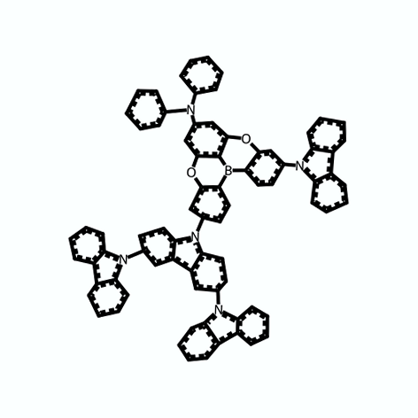 c1ccc(N(c2ccccc2)c2cc3c4c(c2)Oc2cc(-n5c6ccc(-n7c8ccccc8c8ccccc87)cc6c6cc(-n7c8ccccc8c8ccccc87)ccc65)ccc2B4c2ccc(-n4c5ccccc5c5ccccc54)cc2O3)cc1